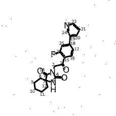 O=C(CN1C(=O)NC2(CCCCC2)C1=O)c1ccc(-c2cccnc2)cc1F